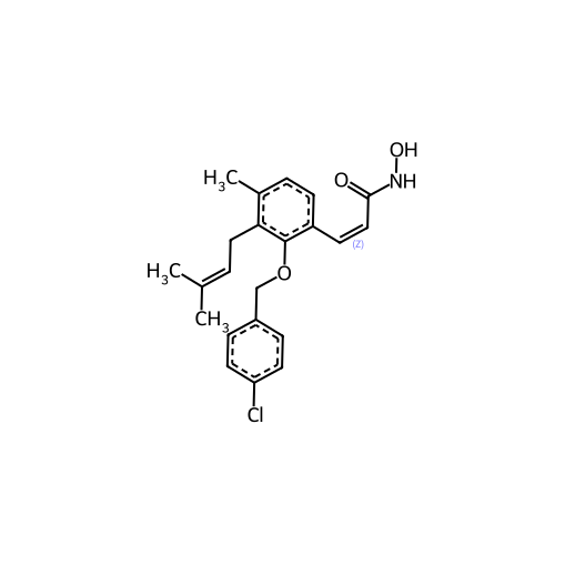 CC(C)=CCc1c(C)ccc(/C=C\C(=O)NO)c1OCc1ccc(Cl)cc1